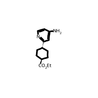 CCOC(=O)[C@H]1CC[C@H](c2cc(N)ccn2)CC1